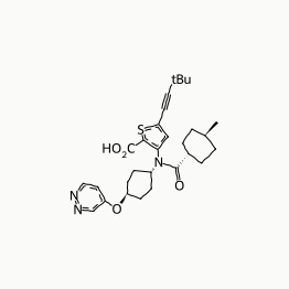 CC(C)(C)C#Cc1cc(N(C(=O)[C@H]2CC[C@H](C)CC2)[C@H]2CC[C@H](Oc3ccnnc3)CC2)c(C(=O)O)s1